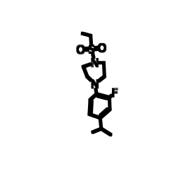 CCS(=O)(=O)N1CCN(c2ccc(C(C)C)cc2F)CC1